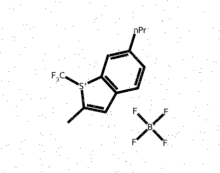 CCCc1ccc2cc(C)[s+](C(F)(F)F)c2c1.F[B-](F)(F)F